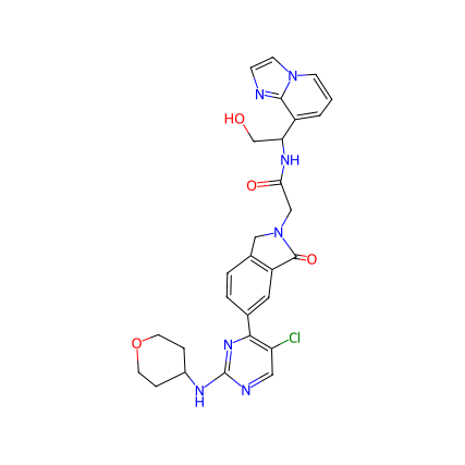 O=C(CN1Cc2ccc(-c3nc(NC4CCOCC4)ncc3Cl)cc2C1=O)NC(CO)c1cccn2ccnc12